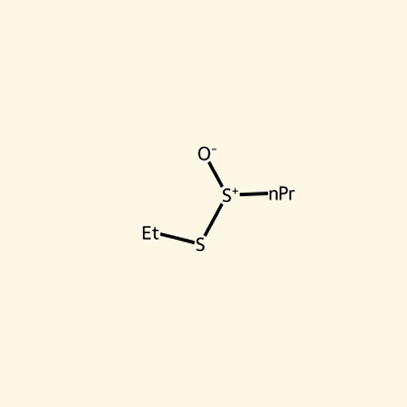 CCC[S+]([O-])SCC